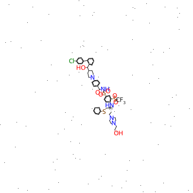 O=C(NS(=O)(=O)c1ccc(N[C@H](CCN2CCN(CCO)CC2)CSc2ccccc2)c(S(=O)(=O)C(F)(F)F)c1)c1ccc(N2CCC(C(O)c3ccccc3-c3ccc(Cl)cc3)CC2)cc1